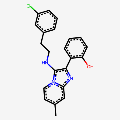 Cc1ccn2c(NCCc3cccc(Cl)c3)c(-c3ccccc3O)nc2c1